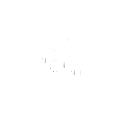 COC(=O)c1cc(N)cnc1N1CCCCC1